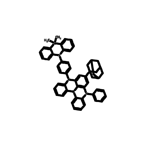 C[Si]1(C)c2ccccc2N(c2ccc(N3c4ccccc4B4c5ccccc5N(c5ccccc5)c5cc(C67CC8CC(CC(C8)C6)C7)cc3c54)cc2)c2ccccc21